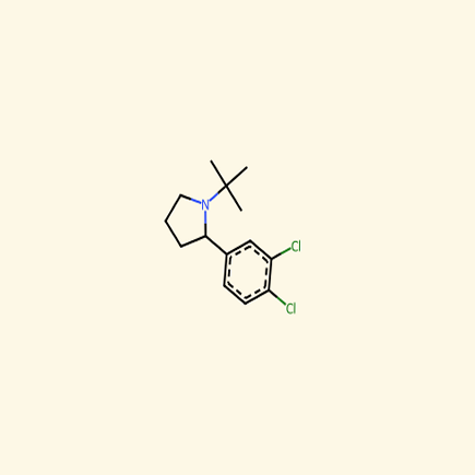 CC(C)(C)N1CCCC1c1ccc(Cl)c(Cl)c1